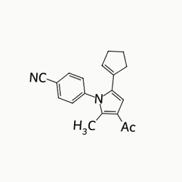 CC(=O)c1cc(C2=CCCC2)n(-c2ccc(C#N)cc2)c1C